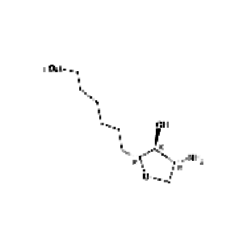 CCCCCCCCCCCCCC[C@H]1OC[C@@H](N)[C@@H]1O